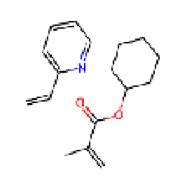 C=C(C)C(=O)OC1CCCCC1.C=Cc1ccccn1